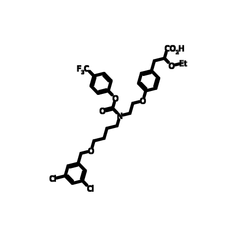 CCOC(Cc1ccc(OCCN(CCCCOCc2cc(Cl)cc(Cl)c2)C(=O)Oc2ccc(C(F)(F)F)cc2)cc1)C(=O)O